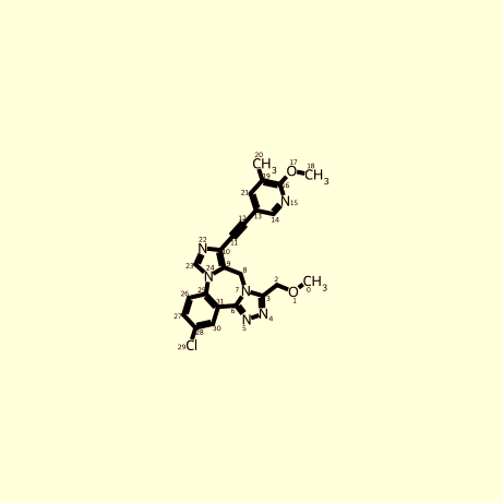 COCc1nnc2n1Cc1c(C#Cc3cnc(OC)c(C)c3)ncn1-c1ccc(Cl)cc1-2